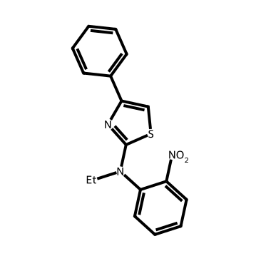 CCN(c1nc(-c2ccccc2)cs1)c1ccccc1[N+](=O)[O-]